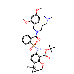 COc1ccc(CN(CCCN(C)C)C(=O)c2ccccc2S(=O)(=O)Nc2ccc3c(c2C(=O)OC(C)(C)C)OCC2C[C@H]32)c(OC)c1